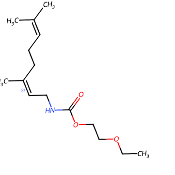 CCOCCOC(=O)NC/C=C(/C)CCC=C(C)C